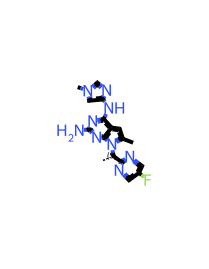 Cc1cc2c(Nc3cn(C)cn3)nc(N)nc2n1[C@@H](C)c1ncc(F)cn1